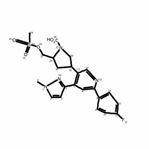 Cn1ccc(-c2cc(-c3ccc(F)cc3)ncc2C2CC(COS(C)(=O)=O)N(C(=O)O)C2)n1